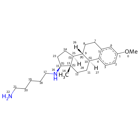 COc1ccc2c(c1)CC[C@@H]1[C@@H]2CC[C@]2(C)[C@@H](NCCCCCN)CC[C@@H]12